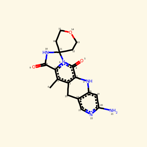 Cc1c2c(c(=O)n3c1C(=O)NC31CCOCC1)Nc1cc(N)ncc1C2